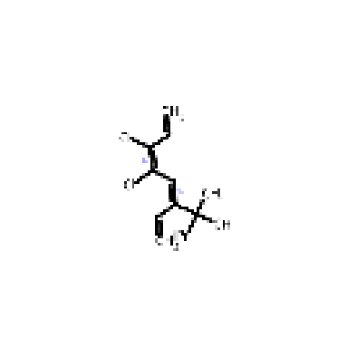 C=C/C(Cl)=C(Cl)\C=C(/C=C)C(C)(C)C(C)C